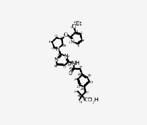 CCOc1cccnc1OC1CCCN(c2nccc(NC(=O)Cc3ccc(CC(C)(C)C(=O)O)cc3)n2)C1